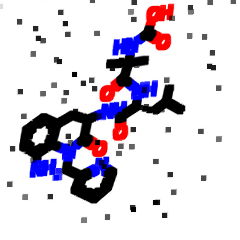 CC(C)C[C@@H](NC(=O)C(C)(C)NC(=O)O)C(=O)NC1Cc2cccc(N)c2N(Cc2ccccn2)C1=O